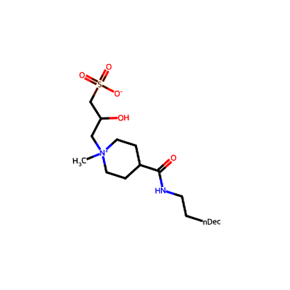 CCCCCCCCCCCCNC(=O)C1CC[N+](C)(CC(O)CS(=O)(=O)[O-])CC1